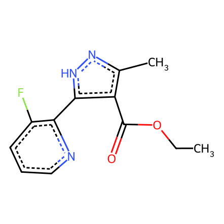 CCOC(=O)c1c(C)n[nH]c1-c1ncccc1F